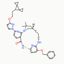 CC1(C)C[C@@H]2CCCNc3nc(ccc3OCc3ccccc3)SNC(=O)c3ccc(-n4ccc(OCCC5C6(CC6)C56CC6)n4)nc3N1C2